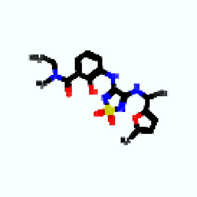 Cc1ccc(C(NC2=NS(=O)(=O)N=C2Nc2cccc(C(=O)N(C)CC(=O)O)c2O)C(C)(C)C)o1